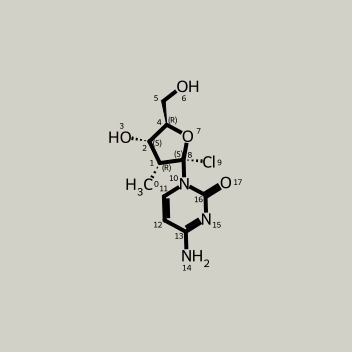 C[C@@H]1[C@H](O)[C@@H](CO)O[C@@]1(Cl)n1ccc(N)nc1=O